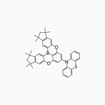 CC1(C)CC(C)(C)c2cc3c(cc21)Oc1cc(N2c4ccccc4Sc4ccccc42)cc2c1B3c1cc3c(cc1O2)C(C)(C)CC3(C)C